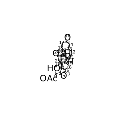 CC(=O)OCC(=O)[C@@]1(O)[C@@H](C)C[C@H]2[C@@H]3C=CC4=CC(=O)C=C[C@]4(C)[C@@]3(F)C(=O)C[C@@]21C